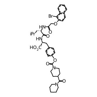 CC(C)C[C@H](NC(=O)COc1ccc2ccccc2c1Br)C(=O)N[C@@H](Cc1ccc(OC(=O)N2CCC(C(=O)N3CCCCC3)CC2)cc1)C(=O)O